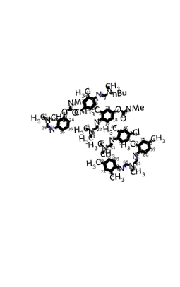 CCCCN(C)/C=N/c1ccc(Cl)cc1C.CNC(=O)Oc1ccc(N=CN(C)C)c(C)c1.CNC(=O)Oc1cccc(/N=C\N(C)C)c1.Cc1cc(Cl)ccc1N=CN(C)C.Cc1ccc(/N=C/N(C)/C=N/c2ccc(C)cc2C)c(C)c1